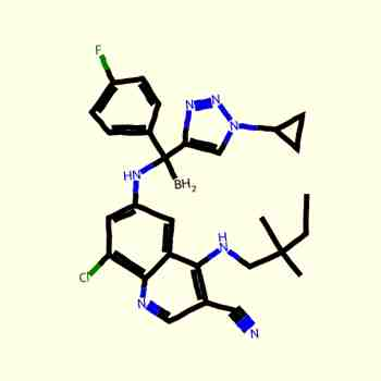 BC(Nc1cc(Cl)c2ncc(C#N)c(NCC(C)(C)CC)c2c1)(c1ccc(F)cc1)c1cn(C2CC2)nn1